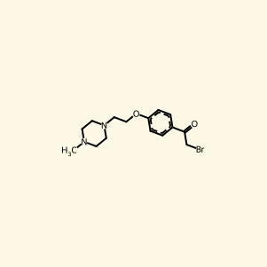 CN1CCN(CCOc2ccc(C(=O)CBr)cc2)CC1